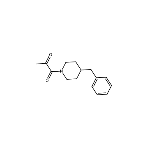 CC(=O)C(=O)N1CCC(Cc2ccccc2)CC1